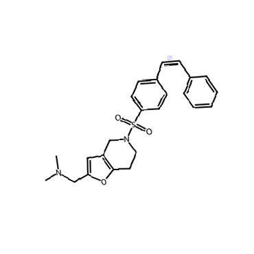 CN(C)Cc1cc2c(o1)CCN(S(=O)(=O)c1ccc(/C=C\c3ccccc3)cc1)C2